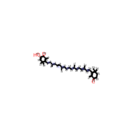 CC1=C(/C=C/C(C)=C/C=C/C(C)=C/C=C/C=C(C)/C=C/C=C(C)/C=C/C2=C(C)C(=O)CCC2(C)C)C(C)(C)C=C(O)C1=O